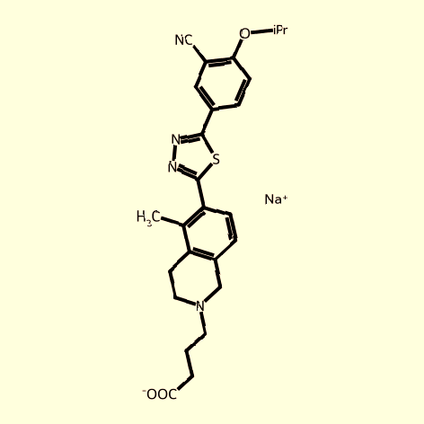 Cc1c(-c2nnc(-c3ccc(OC(C)C)c(C#N)c3)s2)ccc2c1CCN(CCCC(=O)[O-])C2.[Na+]